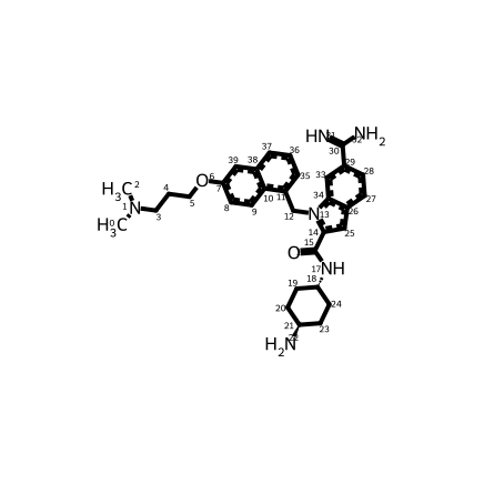 CN(C)CCCOc1ccc2c(Cn3c(C(=O)N[C@H]4CC[C@H](N)CC4)cc4ccc(C(=N)N)cc43)cccc2c1